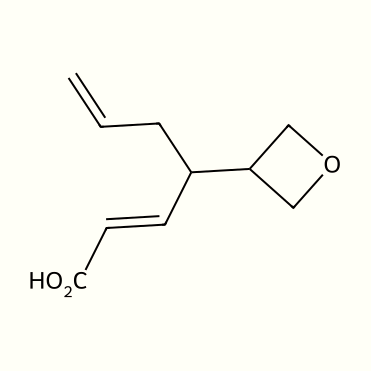 C=CCC(C=CC(=O)O)C1COC1